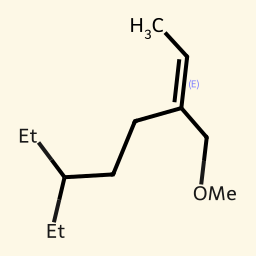 C/C=C(\CCC(CC)CC)COC